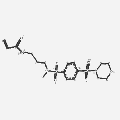 C=CC(=O)NCCCN(C)S(=O)(=O)c1ccc(S(=O)(=O)N2CCOCC2)cc1